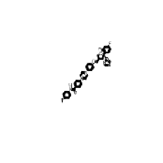 O=C(Nc1ccc(F)cc1)c1ccc(N2CCN(c3ccc(OCC4CO[C@@](Cn5cncn5)(c5ccc(F)cc5F)C4)cc3)CC2)cc1